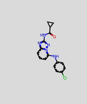 O=C(Nc1nc2cccc(Nc3ccc(Cl)cc3)n2n1)C1CC1